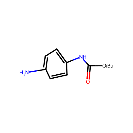 CC(C)COC(=O)Nc1ccc(N)cc1